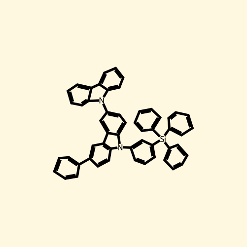 c1ccc(-c2ccc3c(c2)c2cc(-n4c5ccccc5c5ccccc54)ccc2n3-c2cccc([Si](c3ccccc3)(c3ccccc3)c3ccccc3)c2)cc1